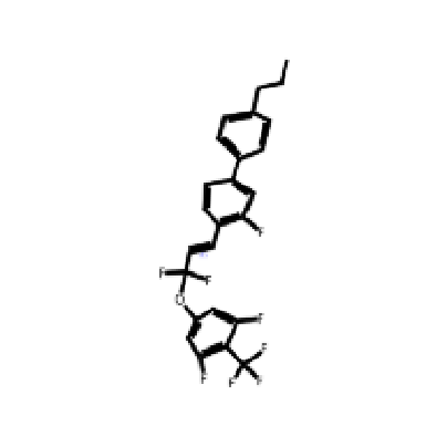 CCCc1ccc(-c2ccc(/C=C/C(F)(F)Oc3cc(F)c(C(F)(F)F)c(F)c3)c(F)c2)cc1